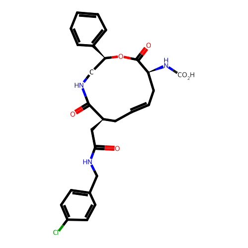 O=C(O)N[C@H]1C/C=C/C[C@@H](CC(=O)NCc2ccc(Cl)cc2)C(=O)NC[C@@H](c2ccccc2)OC1=O